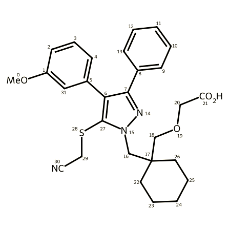 COc1cccc(-c2c(-c3ccccc3)nn(CC3(COCC(=O)O)CCCCC3)c2SCC#N)c1